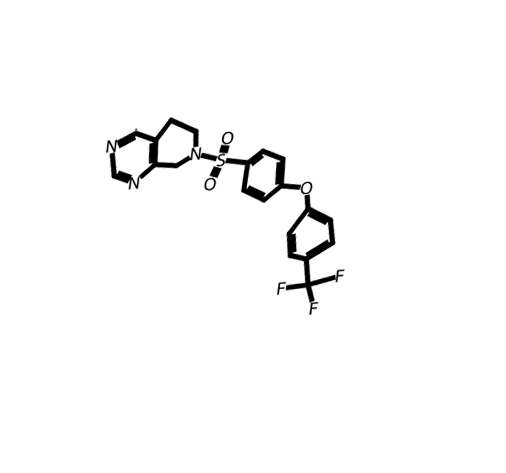 O=S(=O)(c1ccc(Oc2ccc(C(F)(F)F)cc2)cc1)N1CCc2[c]ncnc2C1